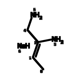 CC=C(N)CN.[NaH]